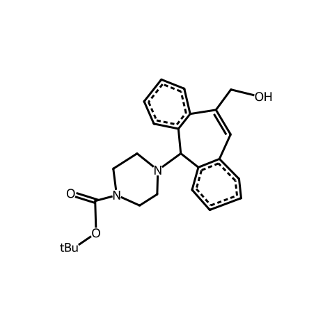 CC(C)(C)OC(=O)N1CCN(C2c3ccccc3C=C(CO)c3ccccc32)CC1